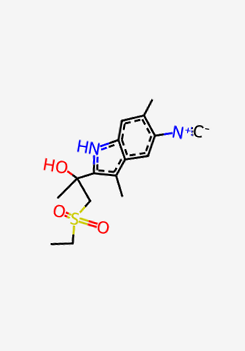 [C-]#[N+]c1cc2c(C)c(C(C)(O)CS(=O)(=O)CC)[nH]c2cc1C